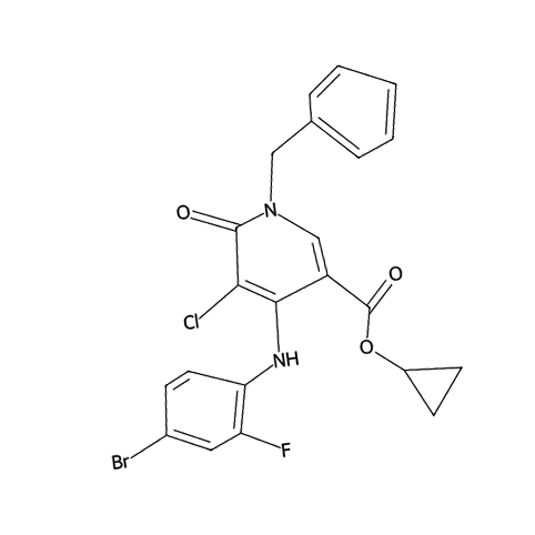 O=C(OC1CC1)c1cn(Cc2ccccc2)c(=O)c(Cl)c1Nc1ccc(Br)cc1F